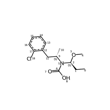 CC[C@H](OC)N(C(=O)O)[C@@H](C)Cc1ccccc1Cl